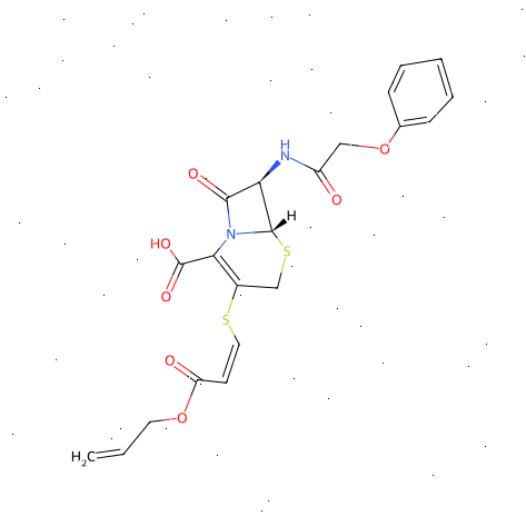 C=CCOC(=O)/C=C\SC1=C(C(=O)O)N2C(=O)[C@@H](NC(=O)COc3ccccc3)[C@@H]2SC1